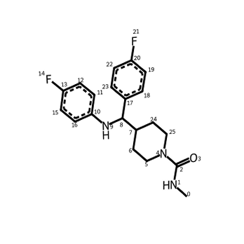 CNC(=O)N1CCC(C(Nc2ccc(F)cc2)c2ccc(F)cc2)CC1